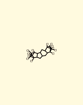 ClC1=C(Cl)C2(Cl)C3CC4C(CC3C1(Cl)C2(Cl)Cl)CC1C4C2(Cl)C(Cl)=C(Cl)C1(Cl)C2(Cl)Cl